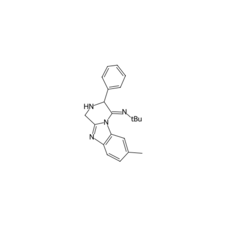 Cc1ccc2nc3n(c2c1)/C(=N\C(C)(C)C)C(c1ccccc1)NC3